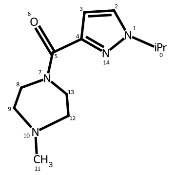 CC(C)n1ccc(C(=O)N2CCN(C)CC2)n1